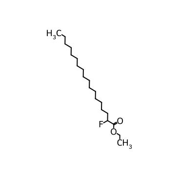 CCCCCCCCCCCCCCCCC(F)C(=O)OCC